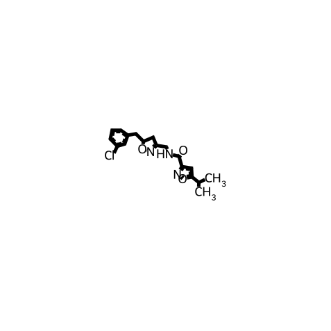 CC(C)c1cc(C(=O)NCC2=NOC(Cc3cccc(Cl)c3)C2)no1